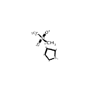 C1CCSC1.CS(C)(=O)=O